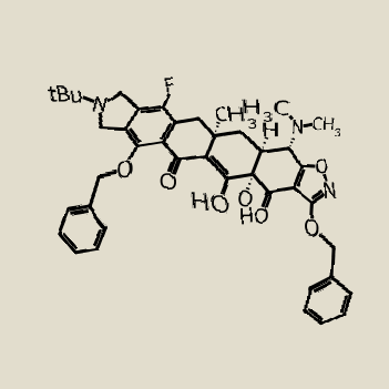 CN(C)[C@@H]1c2onc(OCc3ccccc3)c2C(=O)[C@@]2(O)C(O)=C3C(=O)c4c(c(F)c5c(c4OCc4ccccc4)CN(C(C)(C)C)C5)C[C@@]3(C)C[C@@H]12